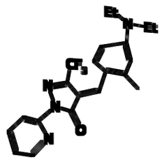 CCN(CC)c1ccc(C=C2C(=O)N(c3ccccn3)N=C2C(F)(F)F)c(C)c1